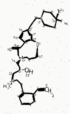 C=Cc1ccccc1CN(C)C[C@@H](O)CN1CCOc2cc(CN3CCC(F)(F)CC3)ccc2C1=O